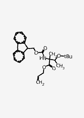 C=CCOC(=O)C(C)(NC(=O)OCC1c2ccccc2-c2ccccc21)C(C)OC(C)(C)C